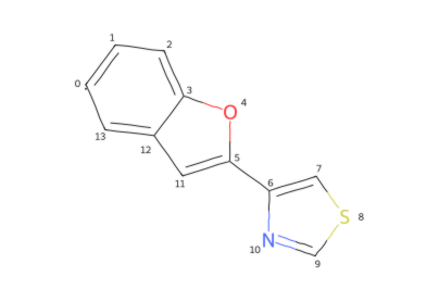 [c]1ccc2oc(-c3cscn3)cc2c1